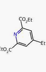 CCOC(=O)c1cc(CC)cc(C(=O)OCC)n1